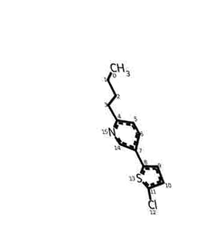 CCCCc1ccc(-c2ccc(Cl)s2)cn1